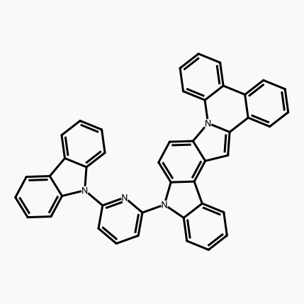 c1cc(-n2c3ccccc3c3ccccc32)nc(-n2c3ccccc3c3c4cc5c6ccccc6c6ccccc6n5c4ccc32)c1